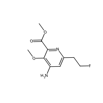 COC(=O)c1nc(CCF)cc(N)c1OC